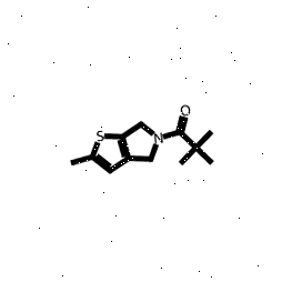 Cc1cc2c(s1)CN(C(=O)C(C)(C)C)C2